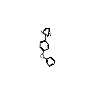 c1ccc(Oc2ccc(-n3nccn3)cc2)cc1